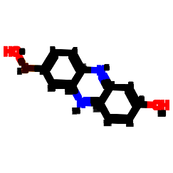 OSc1ccc2nc3cc(O)ccc3nc2c1